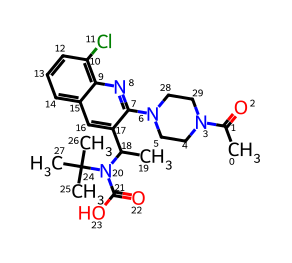 CC(=O)N1CCN(c2nc3c(Cl)cccc3cc2C(C)N(C(=O)O)C(C)(C)C)CC1